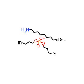 CC(C)CCCOP(=O)(O)OCCCC(C)C.CCCCCCCCCCCCCCCCCCN